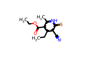 CCOC(=O)c1c(C)[nH]c(=S)c(C#N)c1CC